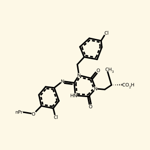 CCCOc1ccc(/N=c2\[nH]c(=O)n(C[C@H](C)C(=O)O)c(=O)n2Cc2ccc(Cl)cc2)cc1Cl